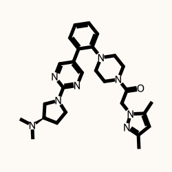 Cc1cc(C)n(CC(=O)N2CCN(c3ccccc3-c3cnc(N4CC[C@@H](N(C)C)C4)nc3)CC2)n1